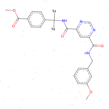 [2H]C([2H])(NC(=O)c1cc(C(=O)NCc2cccc(OC)c2)ncn1)c1ccc(C(=O)OC)cc1